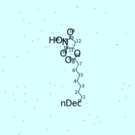 CCCCCCCCCCCCCCCCCC(=O)OC1CC(=O)N(O)C1=O